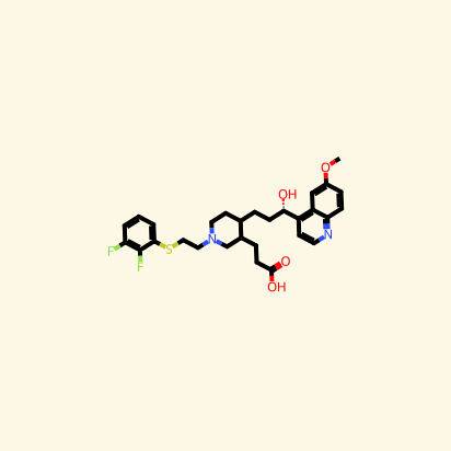 COc1ccc2nccc([C@@H](O)CCC3CCN(CCSc4cccc(F)c4F)CC3CCC(=O)O)c2c1